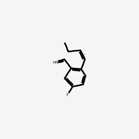 CC/C=C\c1ccc(F)cc1C=N